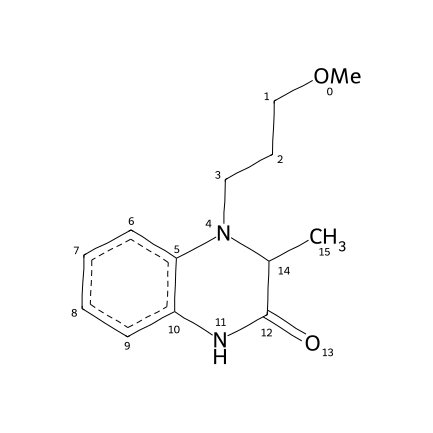 COCCCN1c2ccccc2NC(=O)C1C